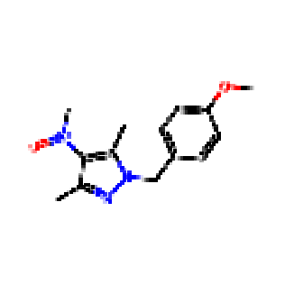 COc1ccc(Cn2nc(C)c([N+](C)=O)c2C)cc1